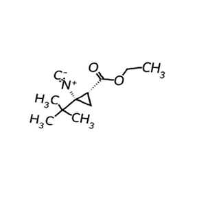 [C-]#[N+][C@@]1(C(C)(C)C)C[C@H]1C(=O)OCC